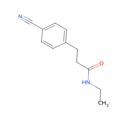 [CH2]CNC(=O)CCc1ccc(C#N)cc1